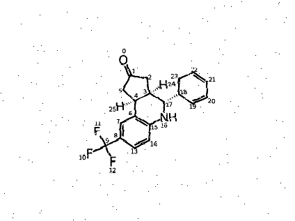 O=C1C[C@@H]2[C@H](C1)c1cc(C(F)(F)F)ccc1N[C@H]2C1C=CC=CC1